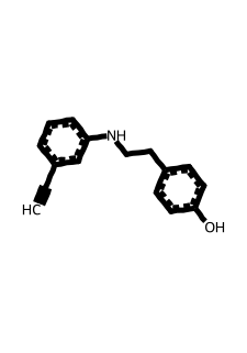 C#Cc1cccc(NCCc2ccc(O)cc2)c1